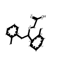 Cc1ccccc1CC(OCC(=O)O)c1ccccc1C